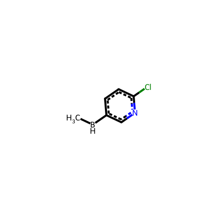 CBc1ccc(Cl)nc1